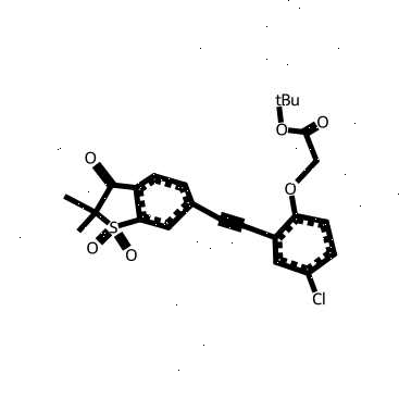 CC(C)(C)OC(=O)COc1ccc(Cl)cc1C#Cc1ccc2c(c1)S(=O)(=O)C(C)(C)C2=O